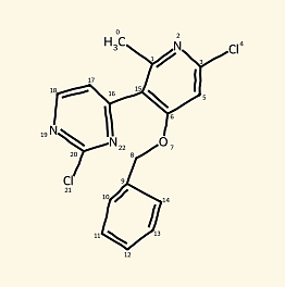 Cc1nc(Cl)cc(OCc2ccccc2)c1-c1ccnc(Cl)n1